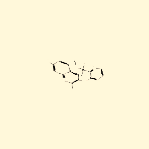 COC(C)(C)c1ncccc1Oc1cc2ccc(F)cc2nc1C